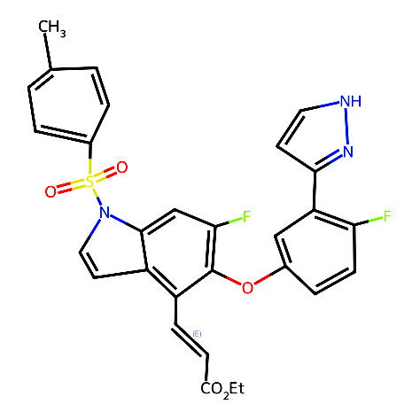 CCOC(=O)/C=C/c1c(Oc2ccc(F)c(-c3cc[nH]n3)c2)c(F)cc2c1ccn2S(=O)(=O)c1ccc(C)cc1